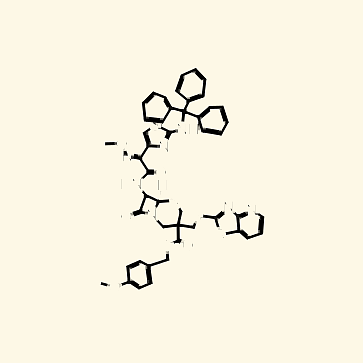 CON=C(C(=O)NC1C(=O)N2CC(CSc3nc4ncccc4s3)(C(=O)OCc3ccc(OC)cc3)CS[C@H]12)c1csc(NC(c2ccccc2)(c2ccccc2)c2ccccc2)n1